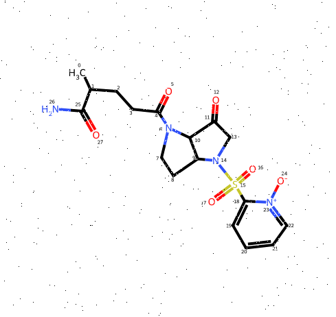 CC(C[CH]C(=O)N1CCC2C1C(=O)CN2S(=O)(=O)c1cccc[n+]1[O-])C(N)=O